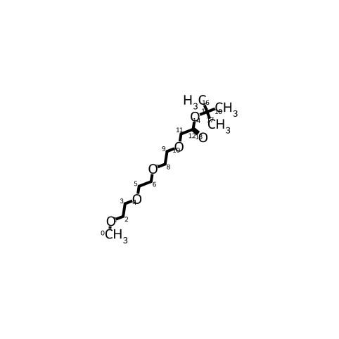 COCCOCCOCCOCC(=O)OC(C)(C)C